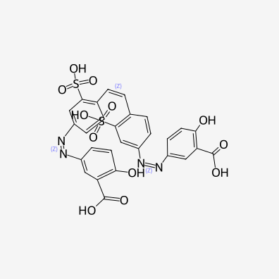 O=C(O)c1cc(/N=N\c2ccc(/C=C\c3ccc(/N=N\c4ccc(O)c(C(=O)O)c4)cc3S(=O)(=O)O)c(S(=O)(=O)O)c2)ccc1O